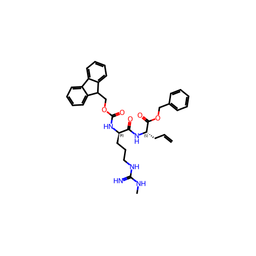 C=CC[C@H](NC(=O)[C@@H](CCCNC(=N)NC)NC(=O)OCC1c2ccccc2-c2ccccc21)C(=O)OCc1ccccc1